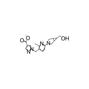 COC(=O)c1cnn(Cc2ccc(N3CC4C(CO)C4C3)nc2C)c1